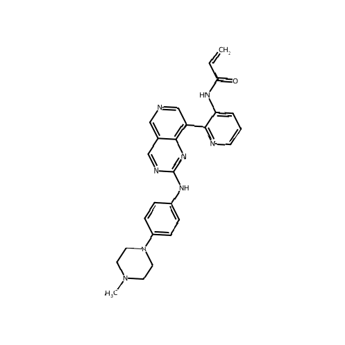 C=CC(=O)Nc1cccnc1-c1cncc2cnc(Nc3ccc(N4CCN(C)CC4)cc3)nc12